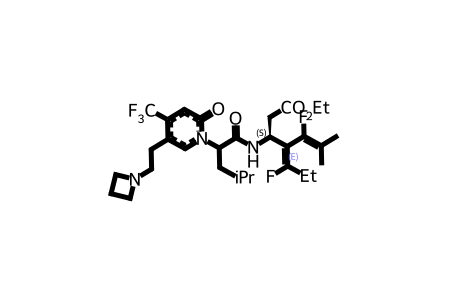 CCOC(=O)C[C@H](NC(=O)C(CC(C)C)n1cc(CCN2CCC2)c(C(F)(F)F)cc1=O)/C(C(F)=C(C)C)=C(\F)CC